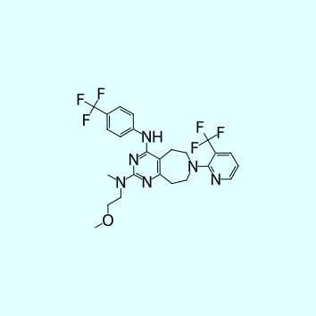 COCCN(C)c1nc2c(c(Nc3ccc(C(F)(F)F)cc3)n1)CCN(c1ncccc1C(F)(F)F)CC2